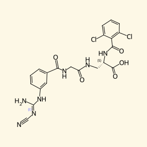 N#C/N=C(\N)Nc1cccc(C(=O)NCC(=O)NC[C@H](NC(=O)c2c(Cl)cccc2Cl)C(=O)O)c1